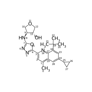 Cc1cc(-c2nnc(N[C@H]3COC[C@@H]3O)o2)nc2c(C(C)(C)C)cc(C3CC3)cc12